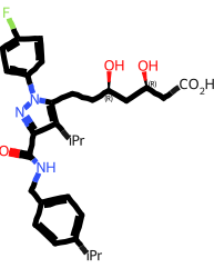 CC(C)c1ccc(CNC(=O)c2nn(-c3ccc(F)cc3)c(CC[C@@H](O)C[C@@H](O)CC(=O)O)c2C(C)C)cc1